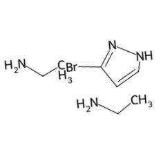 Brc1cc[nH]n1.CCN.CCN